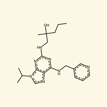 CCCC(C)(O)CNc1nc(NCc2cccnc2)c2ncn(C(C)C)c2n1